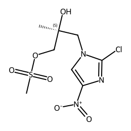 C[C@@](O)(COS(C)(=O)=O)Cn1cc([N+](=O)[O-])nc1Cl